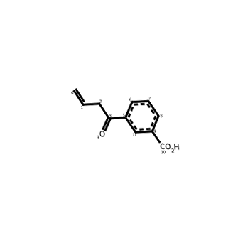 C=CCC(=O)c1cccc(C(=O)O)c1